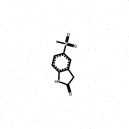 O=C1Cc2cc(S(=O)(=O)I)ccc2N1